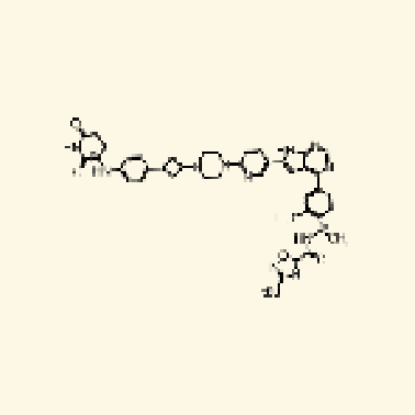 Cc1cc(-c2ncnc3[nH]c(-c4ccc(N5CCN(C6CC(c7ccc(N[C@@H]8CCC(=O)NC8=O)cc7)C6)CC5)nc4)cc23)ccc1[C@@H](C)NC(=O)c1nc(C(C)(C)C)no1